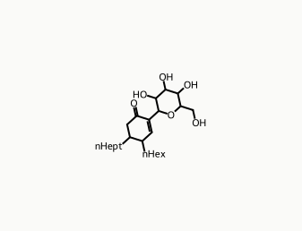 CCCCCCCC1CC(=O)C(C2OC(CO)C(O)C(O)C2O)=CC1CCCCCC